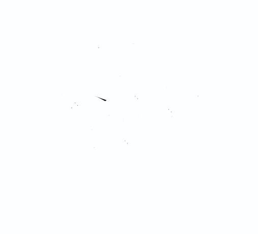 CCOc1cc(C(=O)N(C)[C@H](CCNC(=O)c2cccn2C)Cc2ccccc2)cc(C)n1